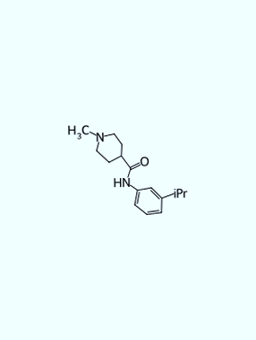 CC(C)c1cccc(NC(=O)C2CCN(C)CC2)c1